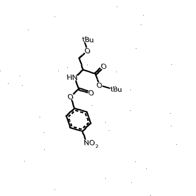 CC(C)(C)OCC(NC(=O)Oc1ccc([N+](=O)[O-])cc1)C(=O)OC(C)(C)C